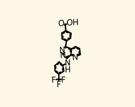 O=C(O)c1ccc(-c2nnc(Nc3cccc(C(F)(F)F)c3)c3ncccc23)cc1